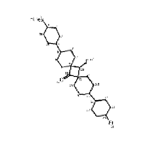 CCCCCCC1CCC(C2CCC3(CC2)C(=O)C2(CCC(C4CCC(CC)CC4)CC2)C3F)CC1